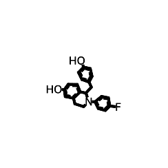 Oc1ccc(CC2c3ccc(O)cc3CCN2c2ccc(F)cc2)cc1